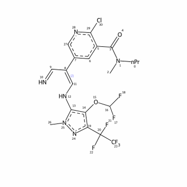 CCCN(C)C(=O)c1cc(/C(C=N)=C/Nc2c(OC(F)F)c(C(F)(F)C(F)(F)F)nn2C)cnc1Cl